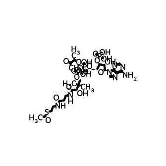 CC(=O)C(C)=O.CC(=O)SCCNC(=O)CCNC(=O)C(O)C(C)(C)COP(=O)(O)OP(=O)(O)OC[C@H]1O[C@@H](n2cnc3c(N)ncnc32)[C@H](O)[C@@H]1OP(=O)(O)O